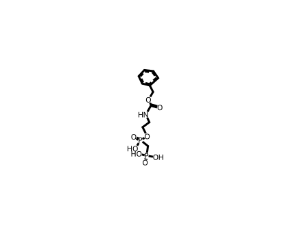 O=C(NCCOP(=O)(O)CP(=O)(O)O)OCc1ccccc1